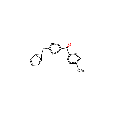 CC(=O)Oc1ccc(C(=O)c2ccc(CC3CC4C=CC3C4)cc2)cc1